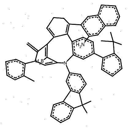 BC1=C2C(=C)C(c3ccccc3C)C=C1N(c1ccc3c(c1)-c1ccccc1C3(C)C)c1cc(-c3ccccc3C(C)(C)C)ccc1C1=C(c3cc4ccccc4cc3N)CCC=C21